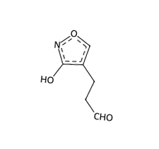 O=CCCc1conc1O